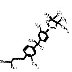 CCC(CC)(c1ccc(CCC(O)C(C)(C)C)c(C)c1)c1ccc(B2OC(C)(C)C(C)(C)O2)c(C)c1